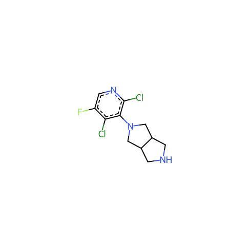 Fc1cnc(Cl)c(N2CC3CNCC3C2)c1Cl